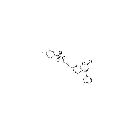 Cc1ccc(S(=O)(=O)OCCCc2ccc3c(-c4ccccc4)cc(=O)oc3c2)cc1